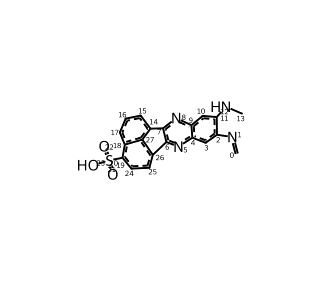 C=Nc1cc2nc3c(nc2cc1NC)-c1cccc2c(S(=O)(=O)O)ccc-3c12